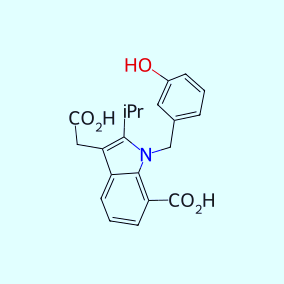 CC(C)c1c(CC(=O)O)c2cccc(C(=O)O)c2n1Cc1cccc(O)c1